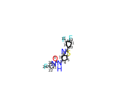 O=C(Nc1ccc2sc(-c3ccc(F)c(F)c3)nc2c1)N1CC[C@@H](F)C1